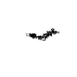 CCOC(=O)c1cnc(N2CCN(CCOCCN3CCNCC3)CC2)nc1.Cl